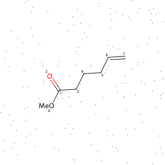 [CH2]OC(=O)CCCC=C